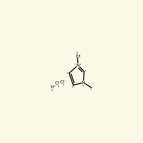 CC[n+]1ccn(C)c1.[Cl-].[Cl-].[H+]